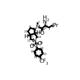 CC(C)C[C@H](N)C(=O)N(C)[C@H]1CC[C@H]2CN(S(=O)(=O)c3ccc(C(F)(F)F)cc3)C[C@H]21